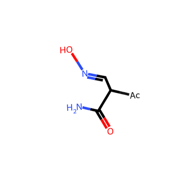 CC(=O)C(C=NO)C(N)=O